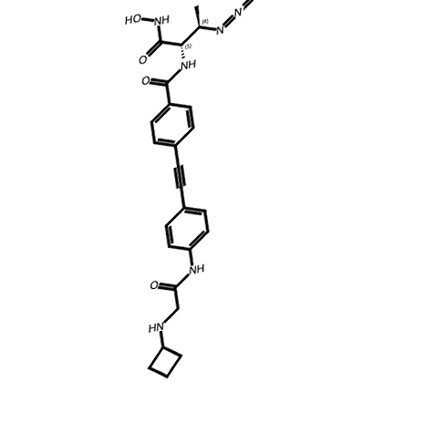 C[C@@H](N=[N+]=N)[C@H](NC(=O)c1ccc(C#Cc2ccc(NC(=O)CNC3CCC3)cc2)cc1)C(=O)NO